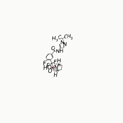 CC(C)n1cc(NC(=O)c2ccc(F)c(C(F)(F)C(=O)N3[C@@H]4CC[C@H]3C[C@H](O)C4)c2)cn1